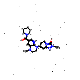 CN1CCN(c2ccn3c(=O)n(C)nc3c2)c2ncc(C(=O)N3CCCCC3)cc21